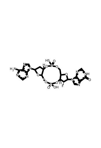 Nc1ncnc2c1ncn2C1C[C@@H]2OP(=O)(S)OCC3OC(n4cnc5c(=O)[nH]cnc54)[C@H](F)[C@@H]3OP(=O)(O)OCC2O1